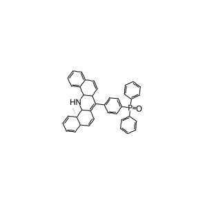 C[C@@]12C=CC=CC1C=CC1=C(c3ccc(P(=O)(c4ccccc4)c4ccccc4)cc3)C3C=Cc4ccccc4C3NC12